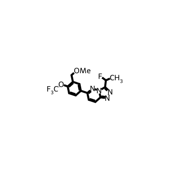 COCc1cc(-c2ccc3nnc(C(C)F)n3n2)ccc1OC(F)(F)F